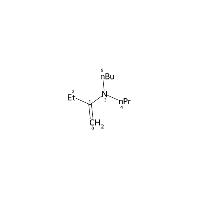 C=C(CC)N(CCC)CCCC